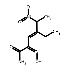 CC/C(=C\C(=NO)C(N)=O)C(C)[N+](=O)[O-]